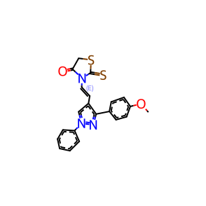 COc1ccc(-c2nn(-c3ccccc3)cc2/C=C/N2C(=O)CSC2=S)cc1